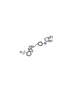 CC[C@@H]1CS/C(=N\c2ccc(CCNc3nc4c(C)cccc4s3)cc2)N1